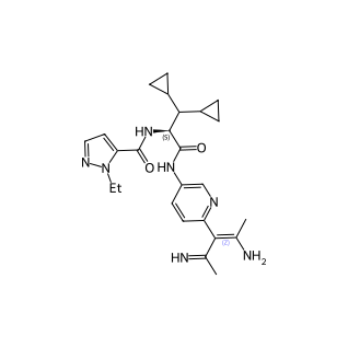 CCn1nccc1C(=O)N[C@H](C(=O)Nc1ccc(/C(C(C)=N)=C(\C)N)nc1)C(C1CC1)C1CC1